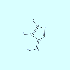 CC=C1C=CC(C)=C1C